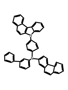 c1ccc(-c2cccc(N(c3ccc(-n4c5ccccc5c5c6ccccc6ccc54)cc3)c3ccc4c(ccc5ccccc54)c3)c2)cc1